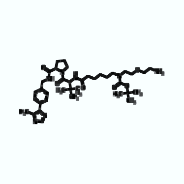 Cc1ncsc1-c1ccc(CNC(=O)C2CCCN2C(=O)C(NC(=O)CCCCCN(CCOCCN)C(=O)OC(C)(C)C)C(C)(C)C)cc1